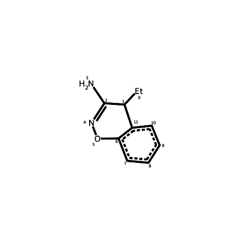 CCC1C(N)=NOc2ccccc21